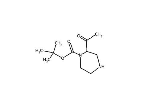 CC(=O)C1CNCCN1C(=O)OC(C)(C)C